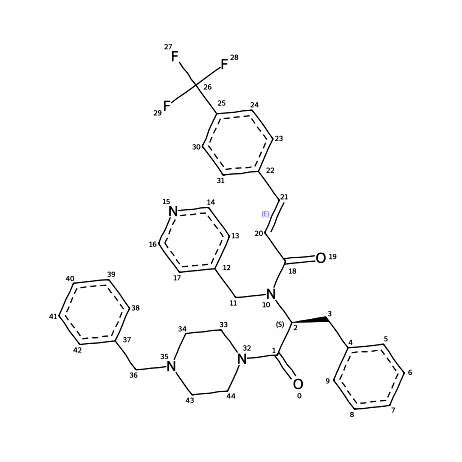 O=C([C@H](Cc1ccccc1)N(Cc1ccncc1)C(=O)/C=C/c1ccc(C(F)(F)F)cc1)N1CCN(Cc2ccccc2)CC1